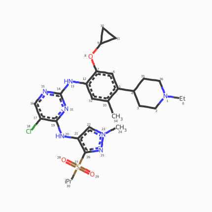 CCN1CCC(c2cc(OC3CC3)c(Nc3ncc(Cl)c(Nc4cn(C)nc4S(=O)(=O)C(C)C)n3)cc2C)CC1